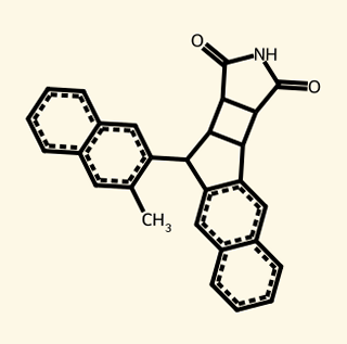 Cc1cc2ccccc2cc1C1c2cc3ccccc3cc2C2C3C(=O)NC(=O)C3C12